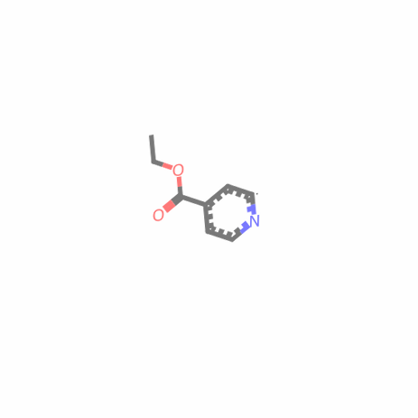 CCOC(=O)c1c[c]ncc1